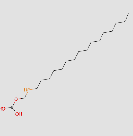 CCCCCCCCCCCCCCCCPCOB(O)O